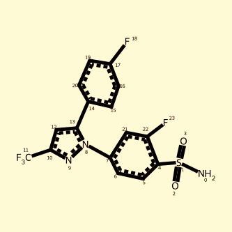 NS(=O)(=O)c1ccc(-n2nc(C(F)(F)F)cc2-c2ccc(F)cc2)cc1F